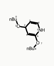 CCCCO[C]1C=CNC(OCCCC)=C1